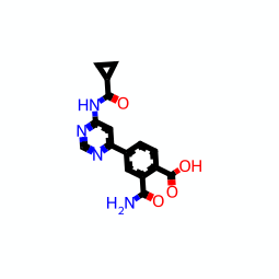 NC(=O)c1cc(-c2cc(NC(=O)C3CC3)ncn2)ccc1C(=O)O